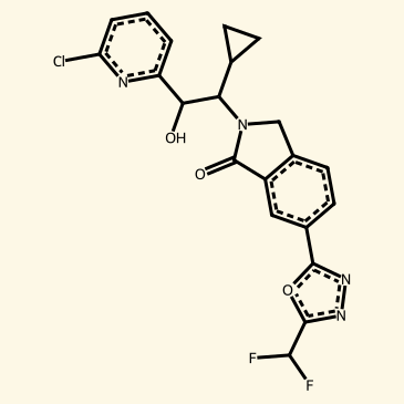 O=C1c2cc(-c3nnc(C(F)F)o3)ccc2CN1C(C1CC1)C(O)c1cccc(Cl)n1